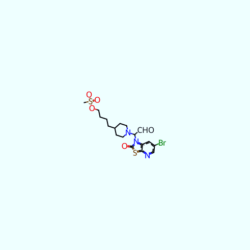 CS(=O)(=O)OCCCCC1CCN(C(C=O)n2c(=O)sc3ncc(Br)cc32)CC1